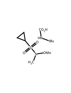 CC(C)(C)NC(=O)O.CON(C)S(=O)(=O)C1CC1